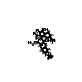 C[C@@H]1CN(c2c(C(F)F)c(=O)n(C)c3ccc(C#N)nc23)[C@@H](C)CN1Cc1ccc(OC(F)(F)F)cc1F